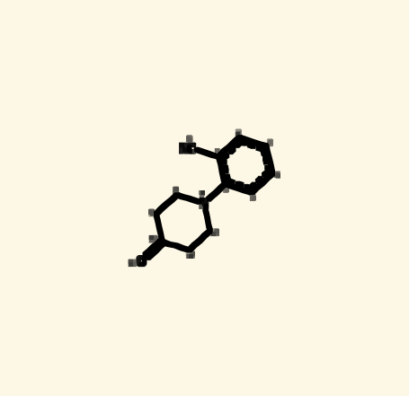 N#Cc1ccccc1N1CCC(=O)CC1